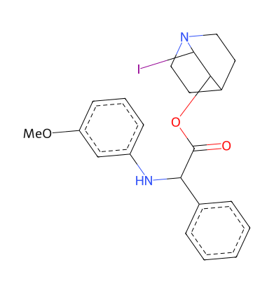 COc1cccc(NC(C(=O)OC2C3CCN(CC3)C2I)c2ccccc2)c1